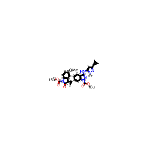 CCn1nc(C2CC2)cc1Nc1nn(C(=O)OC(C)(C)C)c2cc([C@@H]3C[C@@]34C(=O)N(C(=O)OC(C)(C)C)c3ccc(OC)cc34)ccc12